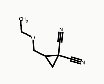 CCOCC1CC1(C#N)C#N